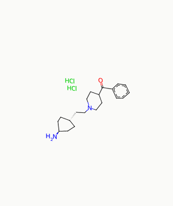 Cl.Cl.N[C@H]1CC[C@H](CCN2CCC(C(=O)c3ccccc3)CC2)CC1